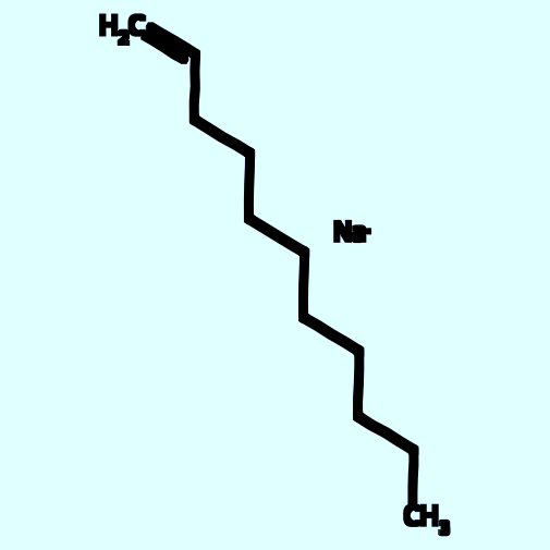 C=CCCCCCCCCC.[Na]